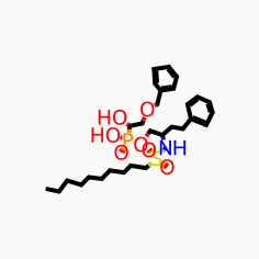 CCCCCCCCCCS(=O)(=O)NC(CCc1ccccc1)COP(=O)(O)C(O)COCc1ccccc1